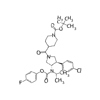 CC(C)N(C(=O)Oc1ccc(F)cc1)[C@@H]1CN(C(=O)C2CCN(C(=O)OC(C)(C)C)CC2)C[C@H]1c1ccc(Cl)cc1